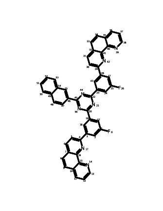 Fc1cc(-c2ccc3ccc4cccnc4c3n2)cc(-c2nc(-c3cc(F)cc(-c4ccc5ccc6cccnc6c5n4)c3)nc(-c3ccc4ccccc4c3)n2)c1